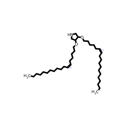 CCCCCCCCCCC/C=C\CCCCCOC1CNCC1OCCCCC/C=C\CCCCCCCCCCC